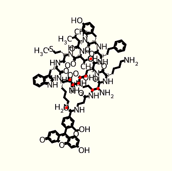 CSCC[C@H](NC(=O)[C@@H](NC(=O)[C@@H](NC(=O)[C@H](Cc1ccc(O)cc1)NC(=O)[C@H](CCc1ccccc1)NC(=O)[C@H](CCCNC(=N)N)NC(=O)[C@H](CCCCN)NC(=O)CCNC(=O)CCNC(=O)c1ccc(-c2c3ccc(=O)cc-3oc3cc(O)ccc23)c(C(=O)O)c1)C(C)C)C(C)C)C(=O)N[C@@H](Cc1c[nH]c2ccccc12)C(=O)N[C@@H](CCCCN)C(=O)N[C@@H](CCCCN)C(=O)O